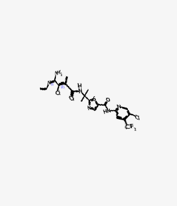 C=C/N=C(N)\C(Cl)=C(/C)C(=O)NC(C)(C)c1ncc(C(=O)Nc2cc(C(F)(F)F)c(Cl)cn2)s1